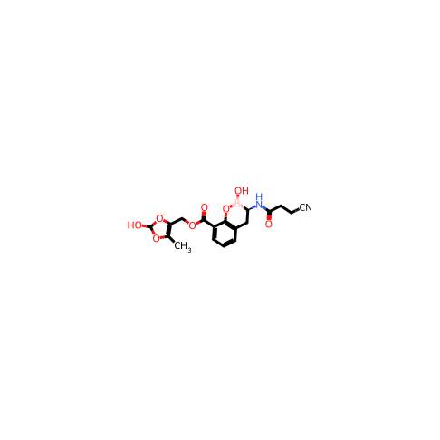 CC1=C(COC(=O)c2cccc3c2OB(O)[C@@H](NC(=O)CCC#N)C3)OC(O)O1